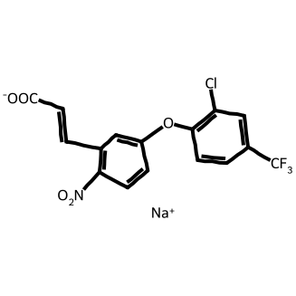 O=C([O-])C=Cc1cc(Oc2ccc(C(F)(F)F)cc2Cl)ccc1[N+](=O)[O-].[Na+]